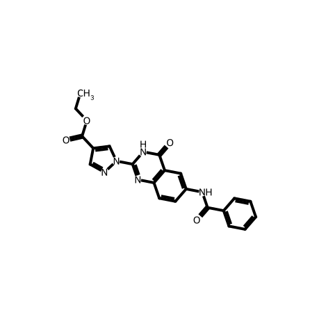 CCOC(=O)c1cnn(-c2nc3ccc(NC(=O)c4ccccc4)cc3c(=O)[nH]2)c1